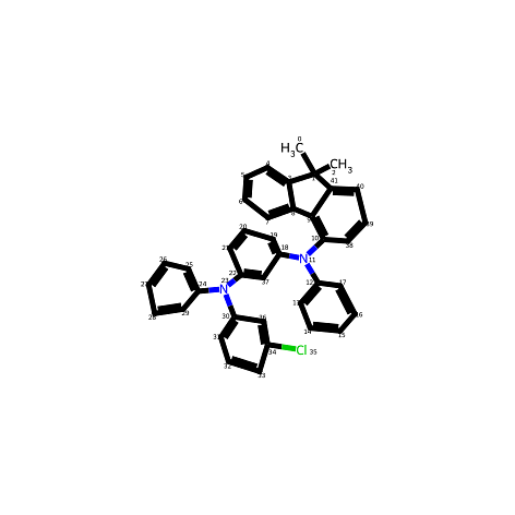 CC1(C)c2ccccc2-c2c(N(c3ccccc3)c3cccc(N(c4ccccc4)c4cccc(Cl)c4)c3)cccc21